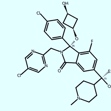 CC[C@@](O)(c1cc(F)c2c(c1)C(=O)N(Cc1ncc(Cl)cn1)[C@@]2(O[C@H]1C[C@@H](O)C1)c1ccc(Cl)cc1)C1CCN(C)CC1